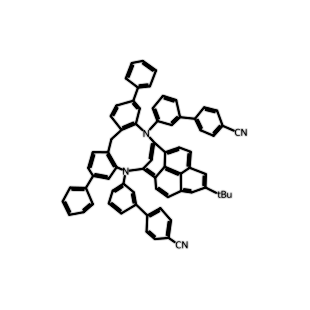 CC(C)(C)c1cc2ccc3c4cc(c5ccc(c1)c2c35)N(c1cccc(-c2ccc(C#N)cc2)c1)c1cc(-c2ccccc2)ccc1Cc1ccc(-c2ccccc2)cc1N4c1cccc(-c2ccc(C#N)cc2)c1